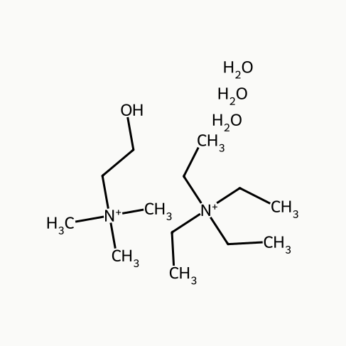 CC[N+](CC)(CC)CC.C[N+](C)(C)CCO.O.O.O